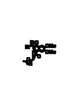 CCC(CC)n1cc(C(=O)NCc2ncc(C)o2)c2cc(OC)c(OC)cc2c1=O